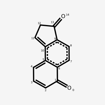 O=C1C=CC=c2c1ccc1c2=CCC1=O